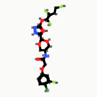 O=C(COc1ccc(Cl)c(F)c1)NC1COC(c2nnc(OC(F)C(F)CCF)o2)OC1